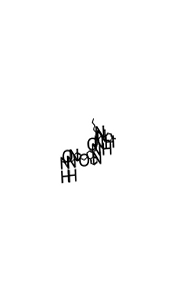 CCCCc1cc(NC(=O)Nc2ccc(Oc3ccnc(NC(=O)NC)c3)c3cccnc23)n(-c2ccc(C)cc2)n1